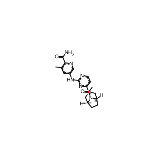 CC(=O)N1[C@@H]2CC[C@H]1CN(c1ccnc(Nc3cnc(C(N)=O)c(C)c3)n1)C2